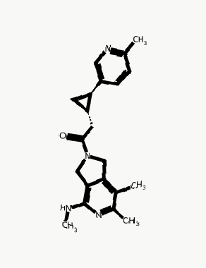 CNc1nc(C)c(C)c2c1CN(C(=O)C[C@@H]1C[C@H]1c1ccc(C)nc1)C2